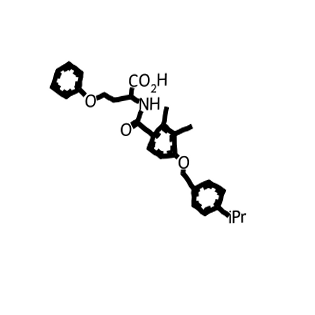 Cc1c(OCc2ccc(C(C)C)cc2)ccc(C(=O)NC(CCOc2ccccc2)C(=O)O)c1C